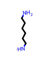 [NH]CCCCCCN